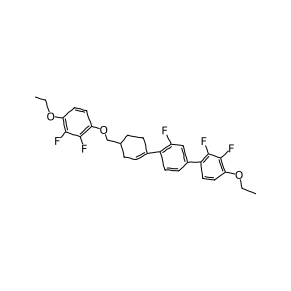 CCOc1ccc(OCC2CC=C(c3ccc(-c4ccc(OCC)c(F)c4F)cc3F)CC2)c(F)c1F